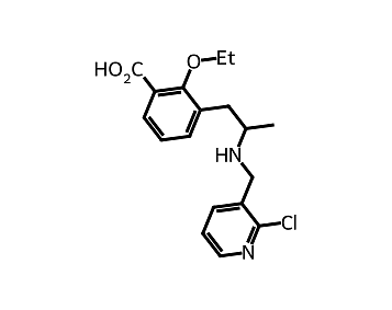 CCOc1c(CC(C)NCc2cccnc2Cl)cccc1C(=O)O